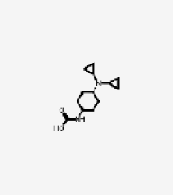 O=C(O)N[C@H]1CC[C@H](N(C2CC2)C2CC2)CC1